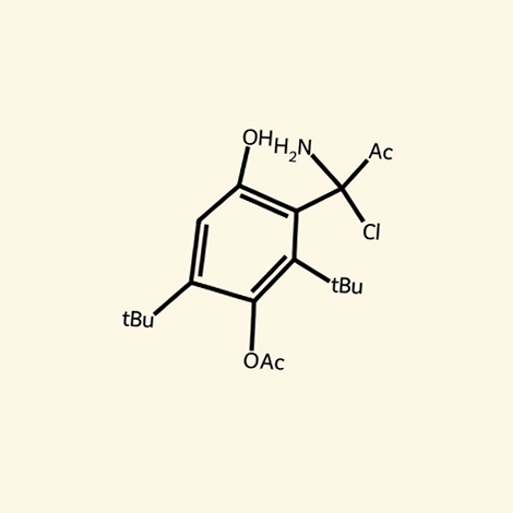 CC(=O)Oc1c(C(C)(C)C)cc(O)c(C(N)(Cl)C(C)=O)c1C(C)(C)C